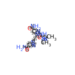 CCn1nc(C)cc1C(=O)Nc1nc2cc(C(N)=O)ccc2n1CCCCn1cnc2cc(C(N)=O)ccc21